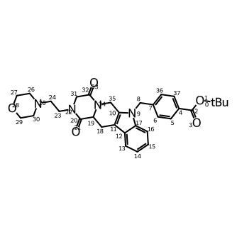 CC(C)(C)OC(=O)c1ccc(Cn2c3c(c4ccccc42)CC2C(=O)N(CCN4CCOCC4)CC(=O)N2C3)cc1